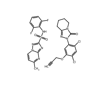 C#CCOc1cc(-n2nc3n(c2=O)CCCC3)c(Cl)cc1Cl.Cc1ccn2nc(S(=O)(=O)Nc3c(F)cccc3F)nc2n1